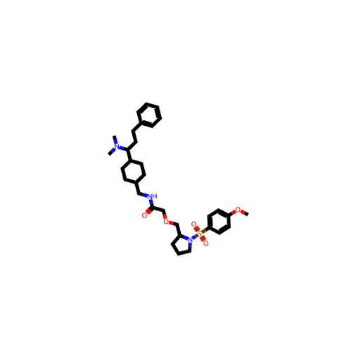 COc1ccc(S(=O)(=O)N2CCCC2COCC(=O)NCC2CCC(C(CCc3ccccc3)N(C)C)CC2)cc1